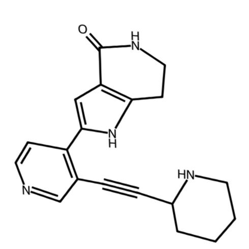 O=C1NCCc2[nH]c(-c3ccncc3C#CC3CCCCN3)cc21